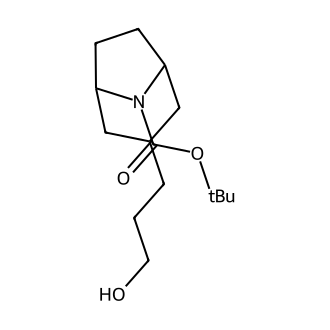 CC(C)(C)OC(=O)N1C2CCC1CC(CCCO)C2